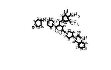 CN1CCC(NC2CCN(C(=O)C(CC(=O)N3CCC(N4Cc5ccccc5NC4=O)CC3)Cc3cc(Cl)c(N)c(C(F)(F)F)c3)CC2)CC1